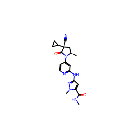 CNC(=O)c1cc(Nc2cc(N3C(=O)[C@](C#N)(C4CC4)C[C@H]3C)ccn2)nn1C